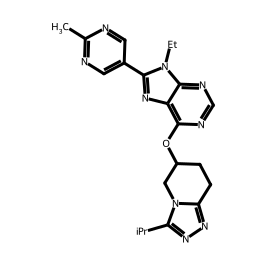 CCn1c(-c2cnc(C)nc2)nc2c(OC3CCc4nnc(C(C)C)n4C3)ncnc21